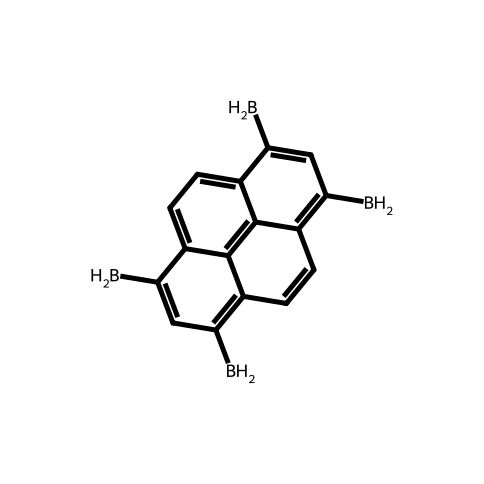 Bc1cc(B)c2ccc3c(B)cc(B)c4ccc1c2c43